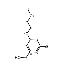 COCCOc1cc(Br)cc(CO)c1